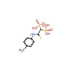 Cc1ccc(NC(=S)C(P(=O)(O)O)P(=O)(O)O)cc1